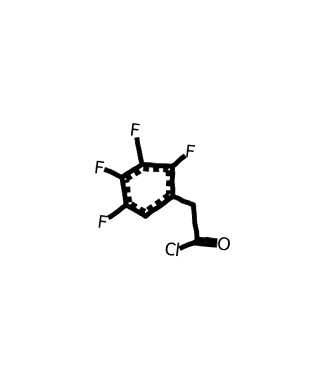 O=C(Cl)Cc1cc(F)c(F)c(F)c1F